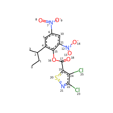 CCC(C)c1cc([N+](=O)[O-])cc([N+](=O)[O-])c1OC(=O)c1snc(Cl)c1Cl